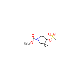 CC(C)(C)OC(=O)N1CCC(OS(C)(=O)=O)C2(CC2)C1